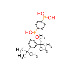 CC(C)(C)c1ccc(OP(O)c2ccc(P(O)O)cc2)c(C(C)(C)C)c1